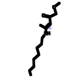 CCCCCCCCN/C(C)=C/C(=O)COC